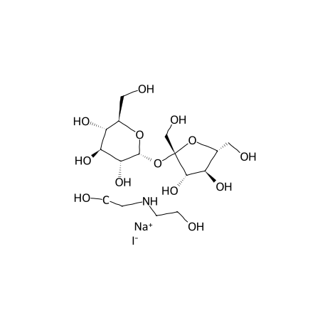 OCCNCCO.OC[C@H]1O[C@@](CO)(O[C@H]2O[C@H](CO)[C@@H](O)[C@H](O)[C@H]2O)[C@@H](O)[C@@H]1O.[I-].[Na+]